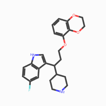 Fc1ccc2[nH]cc(C(CCOc3cccc4c3OCCO4)C3CCNCC3)c2c1